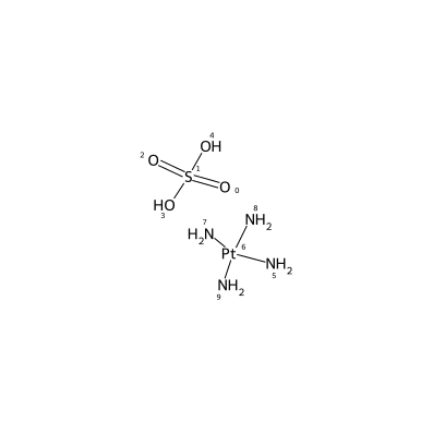 O=S(=O)(O)O.[NH2][Pt]([NH2])([NH2])[NH2]